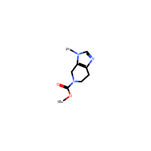 CC(C)n1cnc2c1CN(C(=O)OC(C)(C)C)CC2